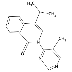 Cc1cncnc1-n1cc(C(C)C)c2ccccc2c1=O